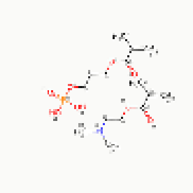 C=C(C)C(=O)OCCCOP(=O)(O)O.C=C(C)C(=O)OCCN(C)C